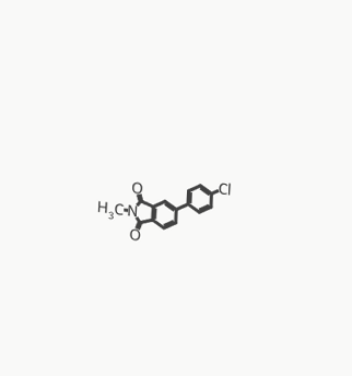 CN1C(=O)c2ccc(-c3ccc(Cl)cc3)cc2C1=O